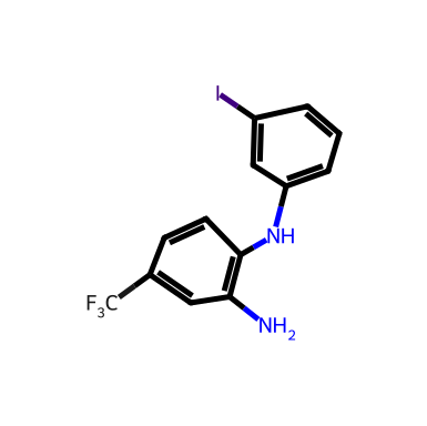 Nc1cc(C(F)(F)F)ccc1Nc1cccc(I)c1